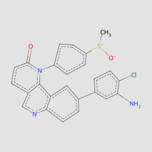 C[S+]([O-])c1ccc(-n2c(=O)ccc3cnc4ccc(-c5ccc(Cl)c(N)c5)cc4c32)cc1